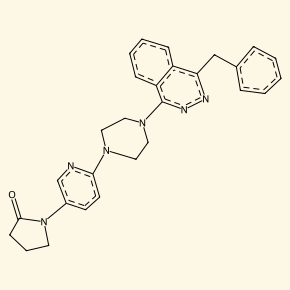 O=C1CCCN1c1ccc(N2CCN(c3nnc(Cc4ccccc4)c4ccccc34)CC2)nc1